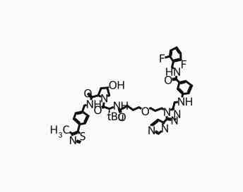 Cc1ncsc1-c1ccc(CNC(=O)C2C[C@@H](O)CN2C(=O)[C@@H](NC(=O)CCCOCCCn2c(CNc3cccc(C(=O)NCc4c(F)cccc4F)c3)nnc2-c2ccncn2)C(C)(C)C)cc1